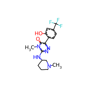 CN1CCC[C@@H](Nc2nnc(-c3ccc(C(F)(F)F)cc3O)c(=O)n2C)C1